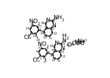 Cc1c(Cl)cc([N+](=O)[O-])cc1-c1cccc2nc(N)ncc12.Cc1c(Cl)cc([N+](=O)[O-])cc1-c1cccc2nc(N)ncc12.O=C([O-])[O-].[Na+].[Na+]